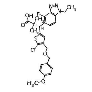 CCn1nnc2c(F)c([C@H](c3cc(COCc4ccc(OC)cc4)c(Cl)s3)C(C)(C)C(=O)O)ccc21